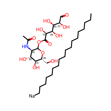 CC(=O)N[C@H]1C(OC(=O)[C@@H](O)[C@H](O)[C@@H](O)[C@H](O)C=O)O[C@H](CO)[C@@H](O)[C@@H]1O.CCCCCCCCCCCCCCCCC[CH2][Na]